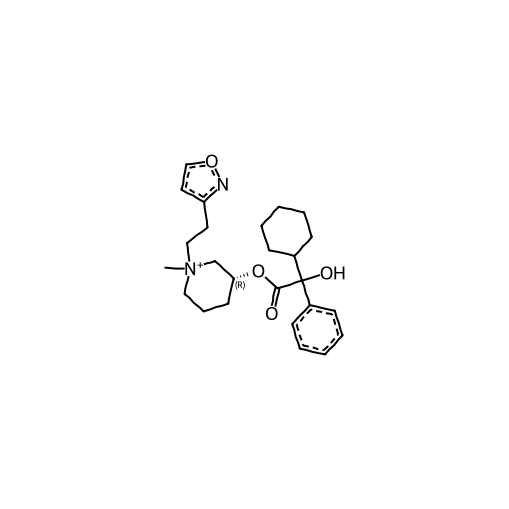 C[N+]1(CCc2ccon2)CCC[C@@H](OC(=O)C(O)(c2ccccc2)C2CCCCC2)C1